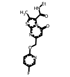 CCNC(=O)c1c(C)sc2nc(COc3ccc(F)cn3)cc(=O)n12